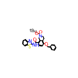 CC(C)(C)OC(=O)N1CCc2c(OCc3ccccc3)ccc(C(=O)Nc3nc4ccccc4s3)c2C1